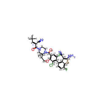 CC(C)(C)/C=C(\C#N)C(=O)N1CCN2C(=O)c3cc(F)c(-c4ccc(F)c5sc(N)c(C#N)c45)c(Cl)c3OCC[C@H]2C1